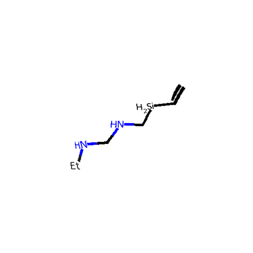 C=C[SiH2]CNCNCC